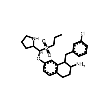 CCCS(=O)(=O)[C@@H](Oc1ccc2c(c1)C(Cc1cccc(Cl)c1)C(N)CC2)C1CCCN1